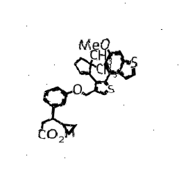 COc1cc(-c2scc(COc3cccc(C(CC(=O)O)C4CC4)c3)c2C2=CCCC2(C)C)c2ccsc2c1